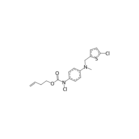 C=CCCOC(=O)N(Cl)c1ccc(N(C)Cc2ccc(Cl)s2)cc1